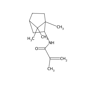 C=C(C)C(=O)NC1CC2CCC1(C)C2(C)C